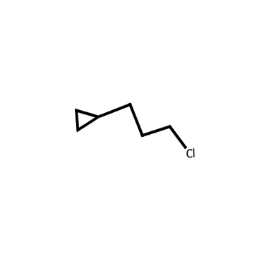 ClCCCC1CC1